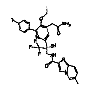 CCOc1c(CC(N)=O)cc([C@@](O)(CNC(=O)c2cn3cc(C)ccc3n2)C(F)(F)F)nc1-c1ccc(F)cc1